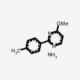 COc1ccnc(-c2ccc(C)cc2)n1.N